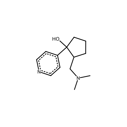 CN(C)CC1CCCC1(O)c1ccncc1